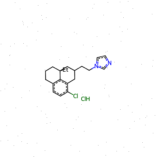 CCC12CCCc3ccc(Cl)c(c31)CC(CCn1ccnc1)C2.Cl